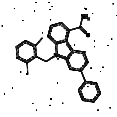 Cc1cccc(C)c1Cn1c2cc(-c3ccccc3)c[c]c2c2c(C(N)=O)cccc21